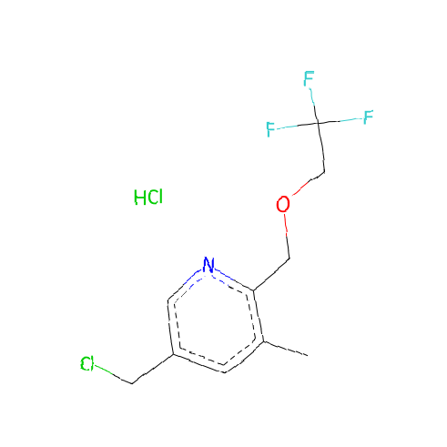 Cc1cc(CCl)cnc1COCC(F)(F)F.Cl